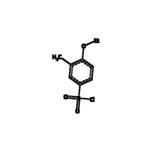 CCOc1ccc(S(=O)(=O)Cl)cc1C